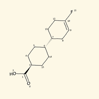 O=C(O)[C@H]1CC[C@H](C2CC=C(F)CC2)CC1